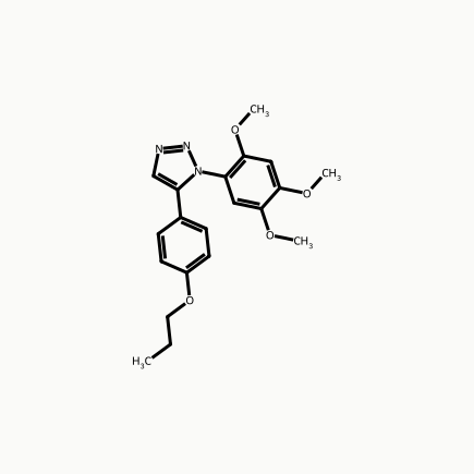 CCCOc1ccc(-c2cnnn2-c2cc(OC)c(OC)cc2OC)cc1